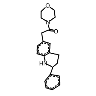 O=C(Cc1ccc2c(c1)CCC(c1ccccc1)N2)N1CCOCC1